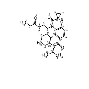 CCC(=O)NCCN1C(=O)C2(CC2)Oc2ccc(C(=O)N(C(C)C)[C@@H]3CCCNC3)cc21